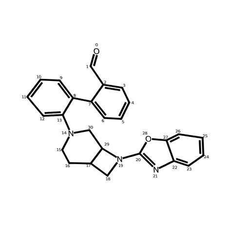 O=Cc1ccccc1-c1ccccc1N1CCC2CN(c3nc4ccccc4o3)C2C1